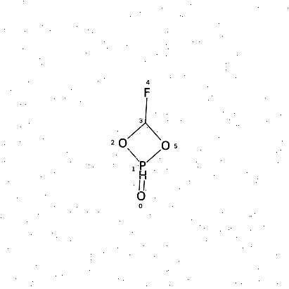 O=[PH]1OC(F)O1